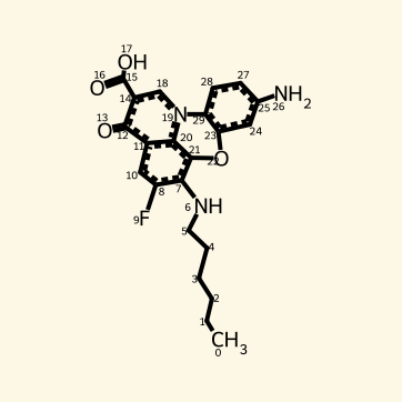 CCCCCCNc1c(F)cc2c(=O)c(C(=O)O)cn3c2c1Oc1cc(N)ccc1-3